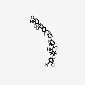 CC1(C)C(NC(=O)c2ccc(N3CCN(Cc4cc5c(cc4F)C(=O)N(C4CCC(=O)NC4=O)C5)CC3)nn2)C(C)(C)C1Oc1ccc(C#N)c(Cl)c1